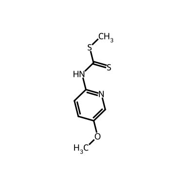 COc1ccc(NC(=S)SC)nc1